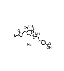 O=C(CSc1ccc(C(=O)O)cc1)N[C@@H]1C(=O)N2C(C(=O)O)=C(C=C3CCN(C4CC4)C3=O)CS[C@H]12.[Na]